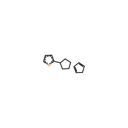 C1=CCC=C1.c1csc(C2CCCC2)c1